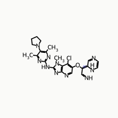 Cc1nc(Nc2nc3ncc(O/C(C=N)=C4\C=NC=CN4)c(Cl)c3n2C)nc(C)c1N1CCCC1